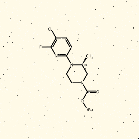 C[C@H]1CN(C(=O)OC(C)(C)C)CCN1c1ccc(Cl)c(F)n1